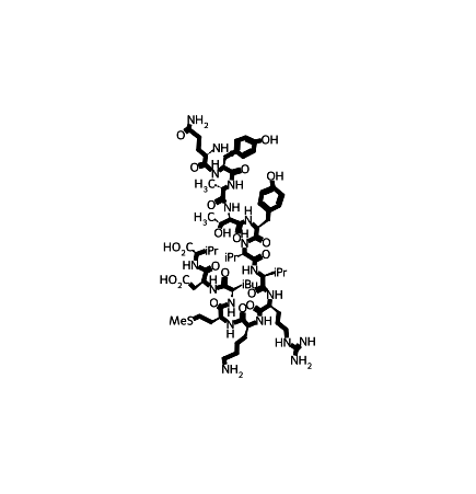 CC[C@H](C)[C@H](NC(=O)[C@H](CCSC)NC(=O)[C@H](CCCCN)NC(=O)[C@H](CCCNC(=N)N)NC(=O)[C@@H](NC(=O)[C@@H](NC(=O)[C@H](Cc1ccc(O)cc1)NC(=O)[C@@H](NC(=O)[C@H](C)NC(=O)[C@H](Cc1ccc(O)cc1)NC(=O)[C@@H](N)CCC(N)=O)[C@@H](C)O)C(C)C)C(C)C)C(=O)N[C@@H](CC(=O)O)C(=O)N[C@H](C(=O)O)C(C)C